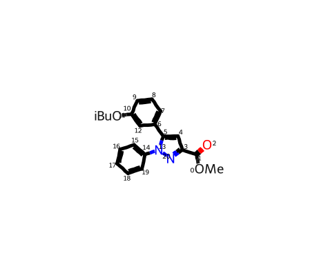 COC(=O)c1cc(-c2cccc(OCC(C)C)c2)n(-c2ccccc2)n1